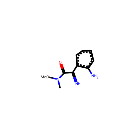 CON(C)C(=O)C(=N)c1ccccc1N